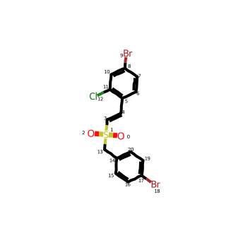 O=S(=O)(C=Cc1ccc(Br)cc1Cl)Cc1ccc(Br)cc1